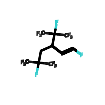 FC=CC(CC(F)(C(F)(F)F)C(F)(F)F)C(F)(C(F)(F)F)C(F)(F)F